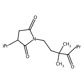 CC(C)C(=O)C(C)(C)CCN1C(=O)CC(C(C)C)C1=O